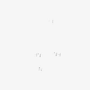 Cc1ncc(Nc2ccc(Cl)cc2)[nH]1